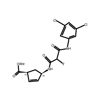 COC(=O)[C@@H]1C=C[C@H](NC(=O)C(F)C(=O)Nc2cc(Cl)cc(Cl)c2)C1